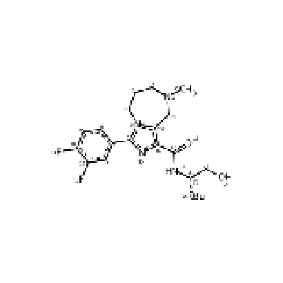 CN1CCCn2c(-c3ccc(F)c(F)c3)nc(C(=O)N[C@H](CO)C(C)(C)C)c2C1